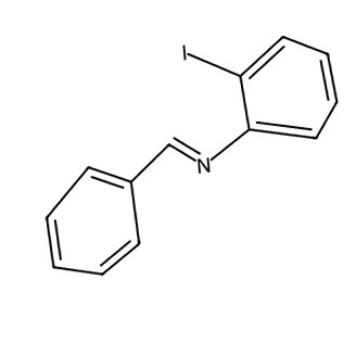 Ic1ccccc1/N=C/c1ccccc1